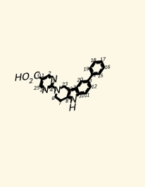 O=C(O)c1cnc(N2CCc3[nH]c4ccc(-c5ccccc5)cc4c3C2)nc1